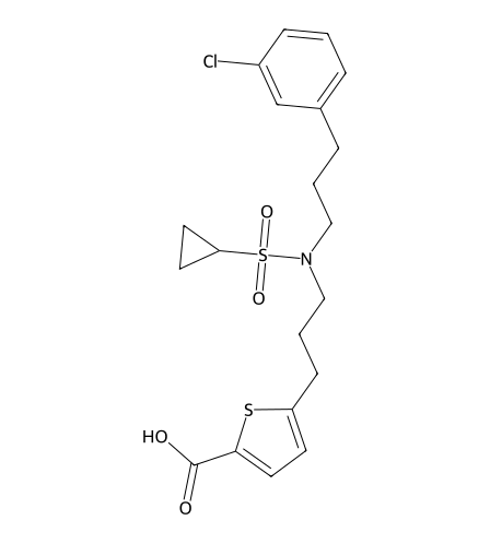 O=C(O)c1ccc(CCCN(CCCc2cccc(Cl)c2)S(=O)(=O)C2CC2)s1